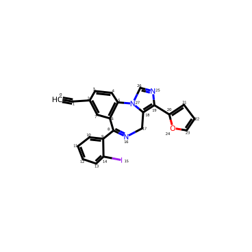 C#Cc1ccc2c(c1)C(c1ccccc1I)=NCc1c(-c3ccco3)ncn1-2